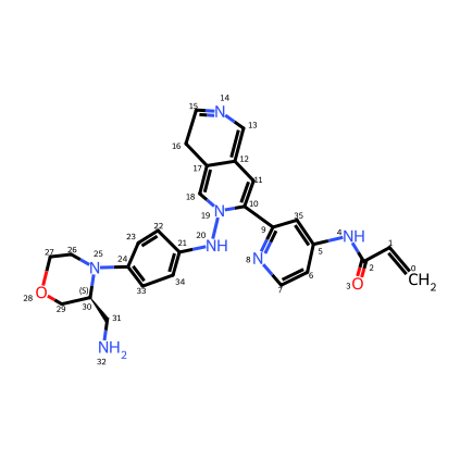 C=CC(=O)Nc1ccnc(C2=CC3=CN=CCC3=CN2Nc2ccc(N3CCOC[C@@H]3CN)cc2)c1